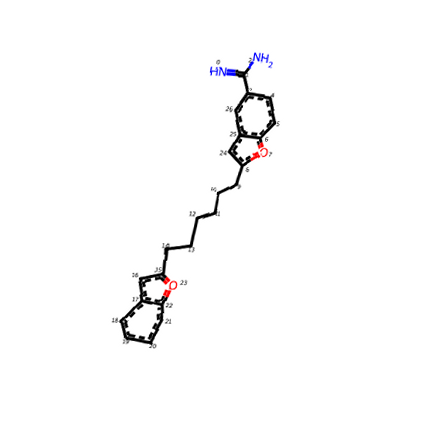 N=C(N)c1ccc2oc(CCCCCCc3cc4ccccc4o3)cc2c1